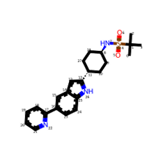 CC(C)(C)S(=O)(=O)N[C@H]1CC[C@H](c2cc3cc(-c4ccccn4)ccc3[nH]2)CC1